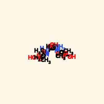 C=C(C)/C=C(/N=N/C\C(N)=C(/C=C(/N=N/c1cc(C)c(S(=O)(=O)CCO)cc1OC)C(=C)N)S(=O)(=O)O)C(=C/CS(=O)(=O)CCO)\OC